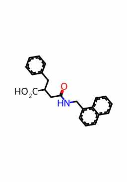 O=C(CC(Cc1ccccc1)C(=O)O)NCc1cccc2ccccc12